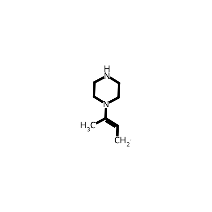 [CH2]C=C(C)N1CCNCC1